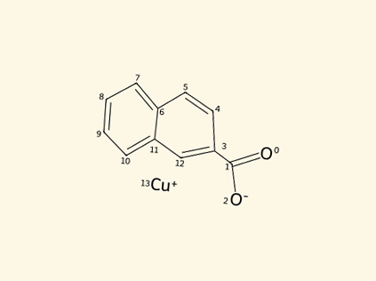 O=C([O-])c1ccc2ccccc2c1.[Cu+]